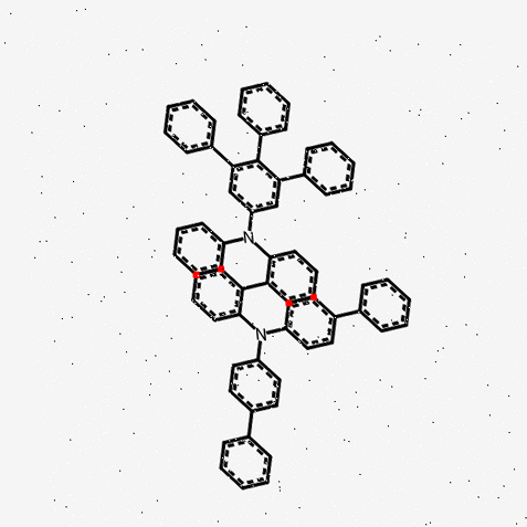 c1ccc(-c2ccc(N(c3ccc(-c4ccccc4)cc3)c3ccccc3-c3ccccc3N(c3ccccc3)c3cc(-c4ccccc4)c(-c4ccccc4)c(-c4ccccc4)c3)cc2)cc1